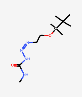 CNC(=O)N/N=N\CCO[Si](C)(C)C(C)(C)C